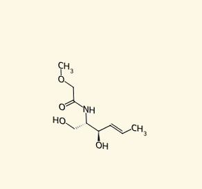 C/C=C/[C@@H](O)[C@H](CO)NC(=O)COC